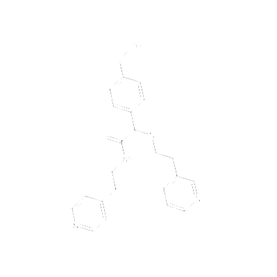 COc1ccc(C(NCCc2cccnc2)C(=O)NCCc2ccncc2)cc1